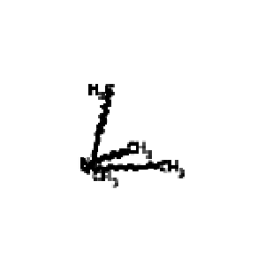 CCCCCCCCCCCCCCCC(CCCCCCCC)c1nccn1C(C)CCCCCCCCCCCCCC